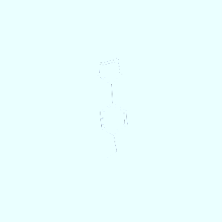 OCc1ccc(C2=NN=[N+]N2)cc1